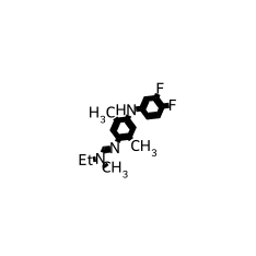 CCN(C)C=Nc1cc(C)c(Nc2ccc(F)c(F)c2)cc1C